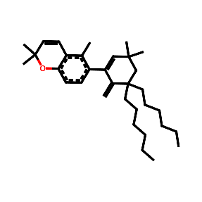 C=C1C(c2ccc3c(c2C)C=CC(C)(C)O3)=CC(C)(C)CC1(CCCCCC)CCCCCC